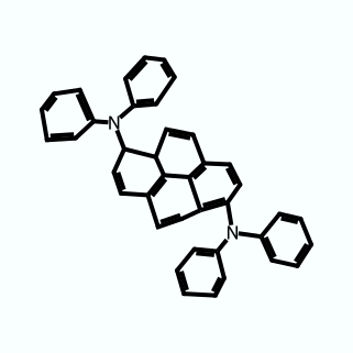 C1=CC(N(c2ccccc2)c2ccccc2)C2C=Cc3ccc(N(c4ccccc4)c4ccccc4)c4ccc1c2c34